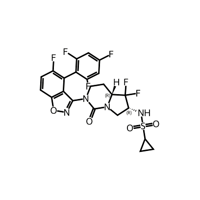 O=C1N(c2noc3ccc(F)c(-c4c(F)cc(F)cc4F)c23)CC[C@H]2N1C[C@@H](NS(=O)(=O)C1CC1)C2(F)F